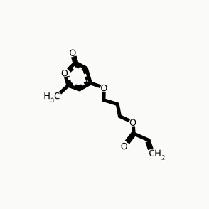 C=CC(=O)OCCCOc1cc(C)oc(=O)c1